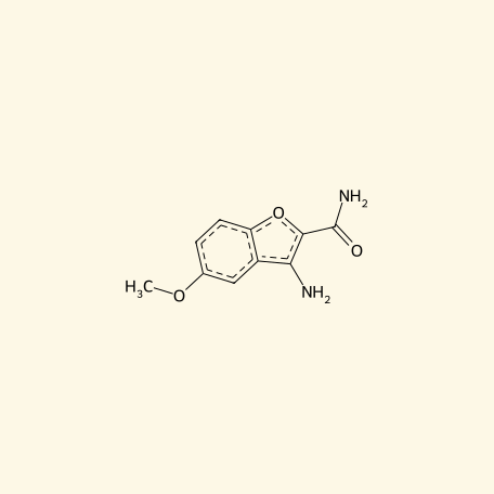 COc1ccc2oc(C(N)=O)c(N)c2c1